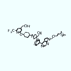 C[Si](C)(C)CCOCn1ccc2c(-c3cnn(C4(CC#N)CN(C5CCC(Oc6cc(CO)cc(C(F)(F)F)n6)CC5)C4)c3)ncnc21